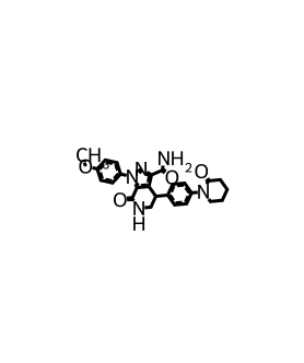 COc1ccc(-n2nc(C(N)=O)c3c2C(=O)NCC3c2ccc(N3CCCCC3=O)cc2)cc1